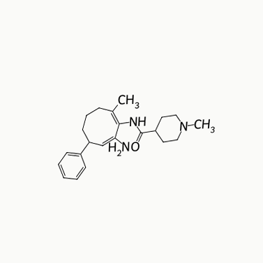 C/C1=C(NC(=O)C2CCN(C)CC2)/C(N)=C\C(c2ccccc2)CCC1